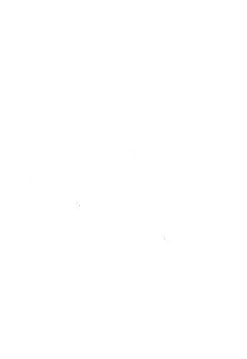 COC(=O)C1=C(C)NC(C)=C(C(=O)OCCN2CCC(C(=O)c3ccc(F)cc3)CC2)C1c1cccc(C(F)(F)F)c1